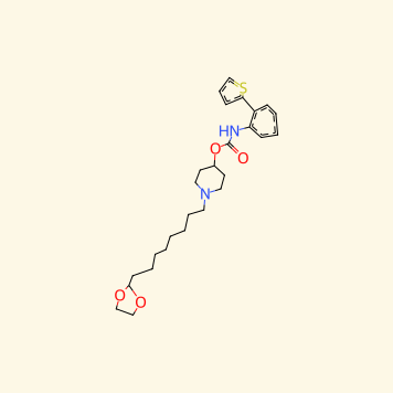 O=C(Nc1ccccc1-c1cccs1)OC1CCN(CCCCCCCCC2OCCO2)CC1